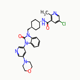 Cc1ncc(Cl)cc1C(=O)N[C@H]1CC[C@H](Cn2c(=O)n(-c3cncc(N4CCOCC4)c3)c3ccccc32)CC1